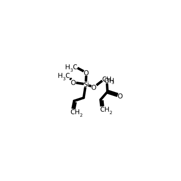 C=CC(=O)O.C=CC[Si](OC)(OC)OC